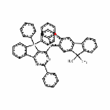 CC1(C)c2ccccc2-c2cc3c4ccccc4n(-c4nc(-c5ccccc5)nc5c4[Si](c4ccccc4)(c4ccccc4)c4ccccc4-5)c3cc21